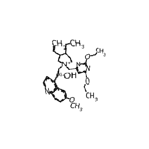 C=CC1C[N+](Cc2cc(OCC)nc(OCC)n2)(C[C@H](O)c2ccnc3ccc(OC)cc23)CCC1CC